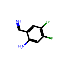 N=Cc1cc(Br)c(F)cc1N